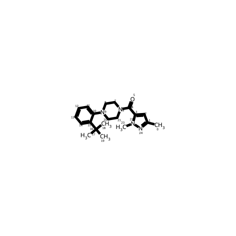 Cc1cc(C(=O)N2CCN(c3ccccc3C(C)(C)C)CC2)n(C)n1